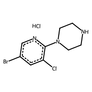 Cl.Clc1cc(Br)cnc1N1CCNCC1